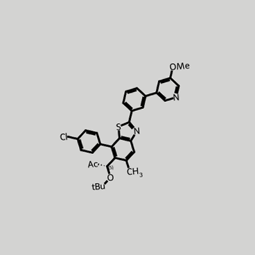 COc1cncc(-c2cccc(-c3nc4cc(C)c([C@H](OC(C)(C)C)C(C)=O)c(-c5ccc(Cl)cc5)c4s3)c2)c1